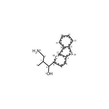 CC(CN)C(O)c1ccc2sc3ccccc3c2c1